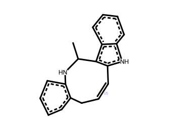 CC1Nc2ccccc2C/C=C\c2[nH]c3ccccc3c21